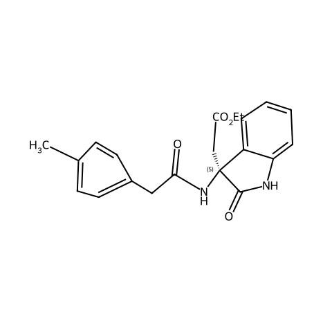 CCOC(=O)C[C@@]1(NC(=O)Cc2ccc(C)cc2)C(=O)Nc2ccccc21